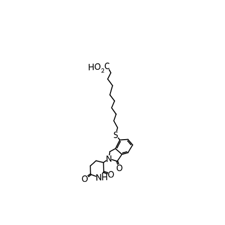 O=C(O)CCCCCCCCCSc1cccc2c1CN(C1CCC(=O)NC1=O)C2=O